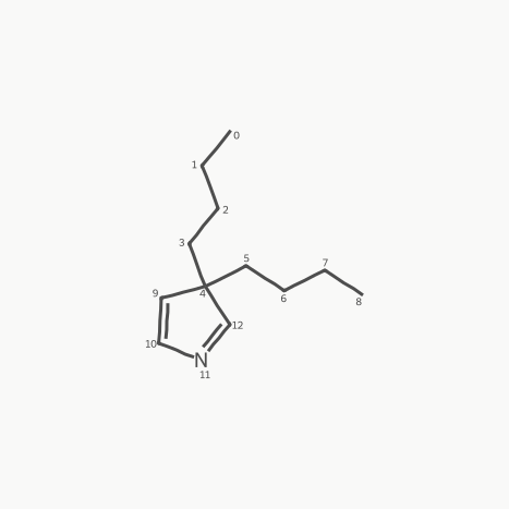 CCCCC1(CCCC)C=CN=C1